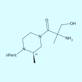 CCCCCN1CCN(C(=O)C(C)(N)CO)C[C@H]1C